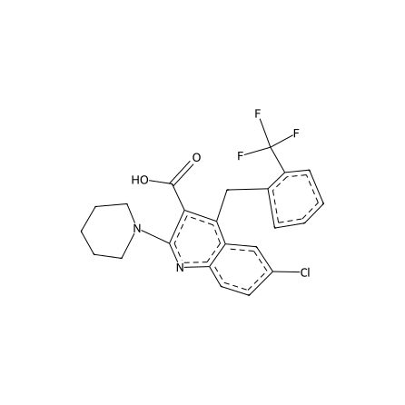 O=C(O)c1c(N2CCCCC2)nc2ccc(Cl)cc2c1Cc1ccccc1C(F)(F)F